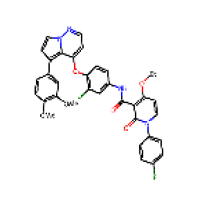 CCOc1ccn(-c2ccc(F)cc2)c(=O)c1C(=O)Nc1ccc(Oc2ccnn3ccc(-c4ccc(OC)c(OC)c4)c23)c(F)c1